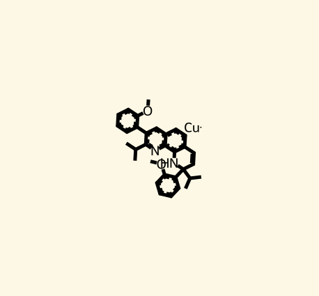 COc1ccccc1-c1cc2ccc3c(c2nc1C(C)C)NC(c1ccccc1OC)(C(C)C)C=C3.[Cu]